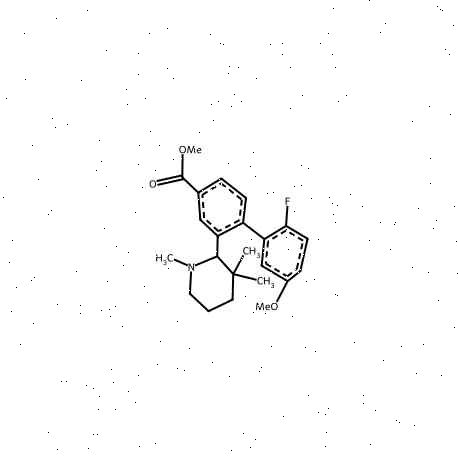 COC(=O)c1ccc(-c2cc(OC)ccc2F)c(C2N(C)CCCC2(C)C)c1